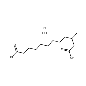 CC(CCCCCCCCC(=O)O)CC(=O)O.Cl.Cl